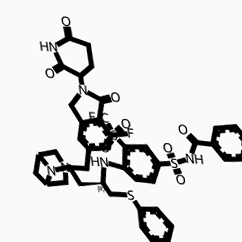 O=C1CCC(N2Cc3cc(CN4CC5CC(C4)N5CC[C@H](CSc4ccccc4)Nc4ccc(S(=O)(=O)NC(=O)c5ccccc5)cc4S(=O)(=O)C(F)(F)F)cc(F)c3C2=O)C(=O)N1